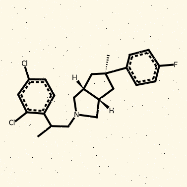 CC(CN1C[C@@H]2C[C@@](C)(c3ccc(F)cc3)C[C@@H]2C1)c1ccc(Cl)cc1Cl